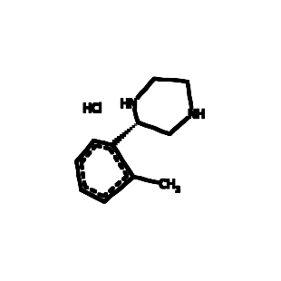 Cc1ccccc1[C@H]1CNCCN1.Cl